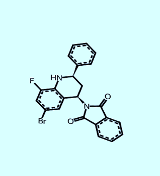 O=C1c2ccccc2C(=O)N1[C@@H]1C[C@H](c2ccccc2)Nc2c(F)cc(Br)cc21